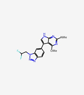 CNc1nc(OC)c2c(-c3ccc4nnn(CC(F)F)c4c3)c[nH]c2n1